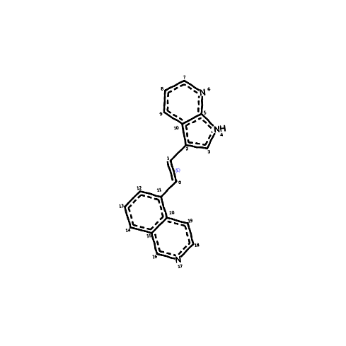 C(=C\c1c[nH]c2ncccc12)/c1cccc2cnccc12